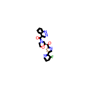 O=C(c1ncc(-c2ncccc2F)s1)[C@@H]1CN(C(=O)c2cnnc3ccccc23)CCO1